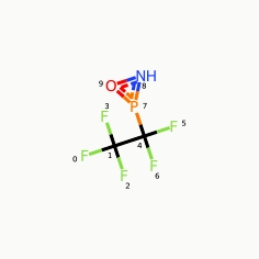 FC(F)(F)C(F)(F)p1[nH]o1